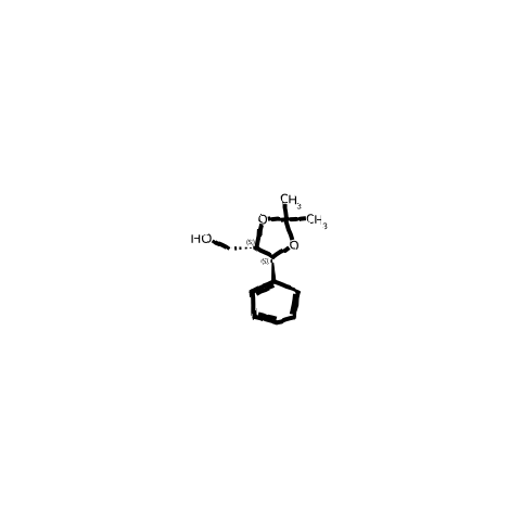 CC1(C)O[C@@H](CO)[C@H](c2ccccc2)O1